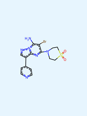 Nc1c(Br)c(N2CCS(=O)(=O)CC2)nc2c(-c3ccncc3)cnn12